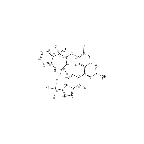 Cc1ccc([C@@H](CC(=O)O)c2ccn3c(C(F)(F)F)nnc3c2C)cc1CN1CC(C)(C)Oc2ncccc2S1(=O)=O